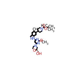 COc1nc(N2CCO[C@@H](CO)C2)cc(-n2ncc3cc(C)c(C4CCN(C(=O)OC(C)(C)C)CC4)cc32)n1